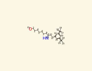 COCCCCCCCC(=N)CCc1cc(C(C)(C)C)cc(C(C)(C)C)c1